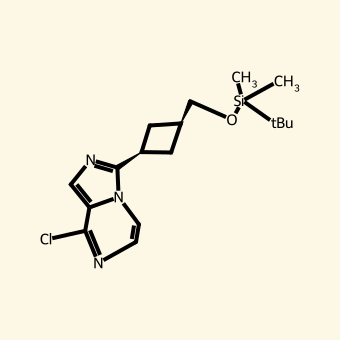 CC(C)(C)[Si](C)(C)OC[C@H]1C[C@@H](c2ncc3c(Cl)nccn32)C1